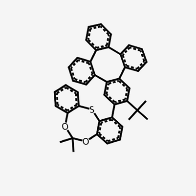 CC1(C)Oc2ccccc2Sc2c(cccc2-c2cc3c(cc2C(C)(C)C)-c2ccccc2-c2ccccc2-c2ccccc2-3)O1